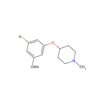 COc1cc(Br)cc(OC2CCN(C)CC2)c1